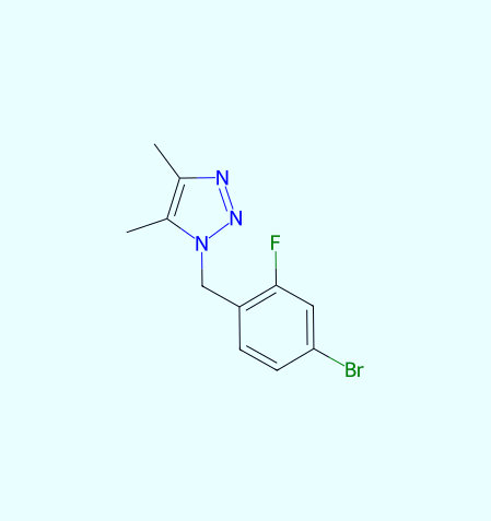 Cc1nnn(Cc2ccc(Br)cc2F)c1C